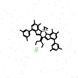 CCCCC1=Cc2c(-c3cc(C)cc(C)c3)cc(C)c(C)c2[CH]1[Zr+2]1([CH]2C(CCCC)=Cc3c(-c4cc(C)cc(C)c4)cc(C)c(C)c32)[CH2][CH2]1.[Cl-].[Cl-]